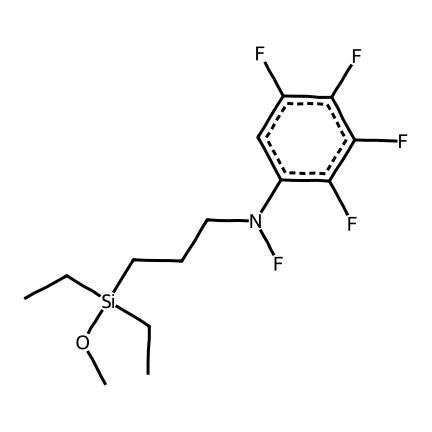 CC[Si](CC)(CCCN(F)c1cc(F)c(F)c(F)c1F)OC